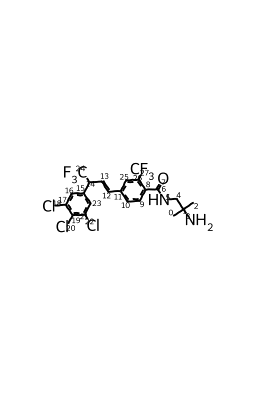 CC(C)(N)CNC(=O)c1ccc(C=CC(c2cc(Cl)c(Cl)c(Cl)c2)C(F)(F)F)cc1C(F)(F)F